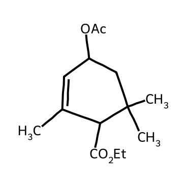 CCOC(=O)C1C(C)=CC(OC(C)=O)CC1(C)C